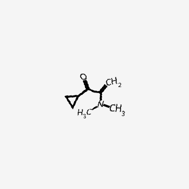 C=C(C(=O)C1CC1)N(C)C